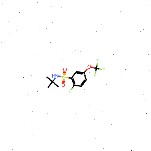 CC(C)(C)NS(=O)(=O)c1cc(OC(F)(F)F)ccc1F